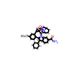 COc1ccc2c(c1)C1CC1(C(=O)N1C3CCC1CN(C)C3)Cn1c-2c(C2CCCCC2)c2ccc(C(N)=O)cc21